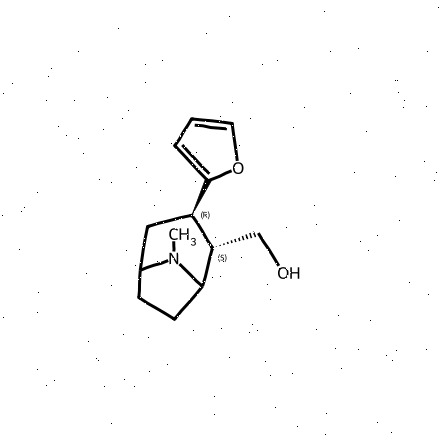 CN1C2CCC1[C@@H](CO)[C@H](c1ccco1)C2